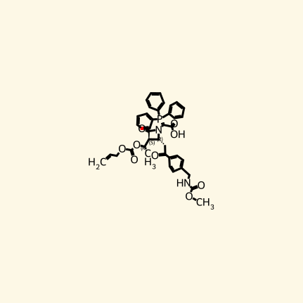 C=CCOC(=O)O[C@H](C)[C@H]1C(=O)N(C(C(=O)O)=P(c2ccccc2)(c2ccccc2)c2ccccc2)[C@@H]1CC(=O)c1ccc(CNC(=O)OC)cc1